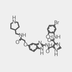 Cc1ccc(Br)cc1NC(=O)c1nc[nH]c1C(=O)Nc1nc2cc(OCC(=O)NCC3CCNCC3)ccc2[nH]1